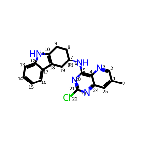 Cc1cnc2c(N[C@@H]3CCc4[nH]c5ccccc5c4C3)nc(Cl)nc2c1